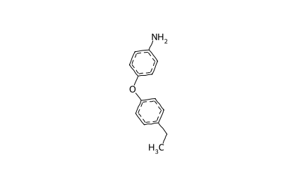 CCc1ccc(Oc2ccc(N)cc2)cc1